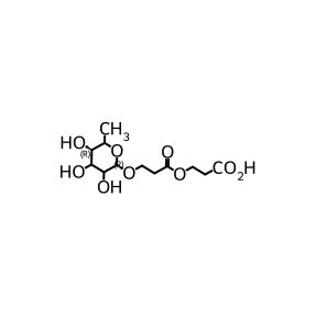 CC1O[C@@H](OCCC(=O)OCCC(=O)O)C(O)C(O)[C@H]1O